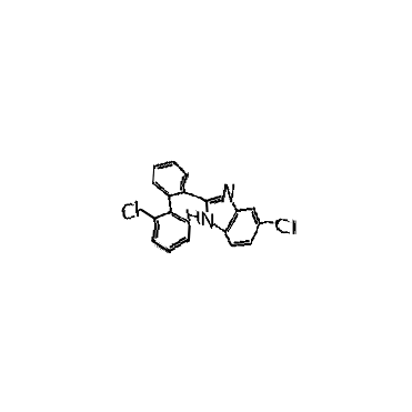 Clc1ccc2[nH]c(-c3ccccc3-c3ccccc3Cl)nc2c1